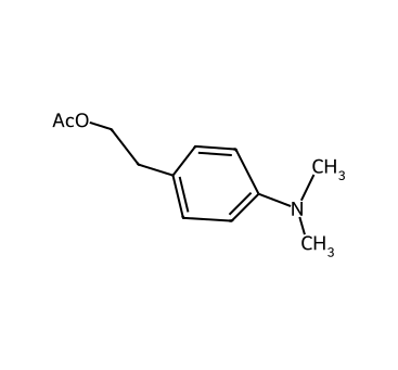 CC(=O)OCCc1ccc(N(C)C)cc1